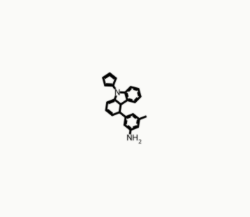 Cc1cc(N)cc(C2C=CC=C3C2c2ccccc2N3C2=CC=C=C2)c1